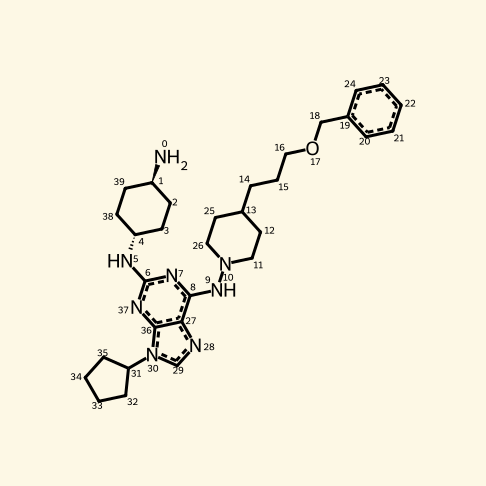 N[C@H]1CC[C@H](Nc2nc(NN3CCC(CCCOCc4ccccc4)CC3)c3ncn(C4CCCC4)c3n2)CC1